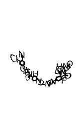 CC1(C)C(NC(=O)c2ccc(N3CCC(CN4CCN(c5cc(F)c6c(c5)C(=O)N(C5CCC(=O)NC5=O)C6=O)CC4)CC3)cc2)C(C)(C)C1Oc1ccc(C#N)c(Cl)c1